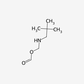 CC(C)(C)CNCOC=O